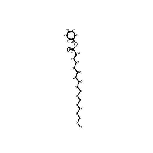 CCCCCCCCCCCCCCCC=CC(=O)Oc1ccccc1